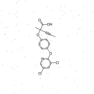 CC#CC(C)(Oc1ccc(Oc2ncc(Cl)cc2Cl)cc1)C(=O)O